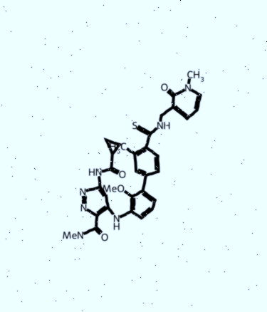 CNC(=O)c1nnc(NC(=O)C2CC2)cc1Nc1cccc(-c2ccc(C(=S)NCc3cccn(C)c3=O)c(C)c2)c1OC